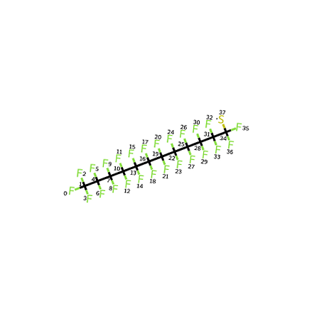 FC(F)(F)C(F)(F)C(F)(F)C(F)(F)C(F)(F)C(F)(F)C(F)(F)C(F)(F)C(F)(F)C(F)(F)C(F)(F)C(F)(F)[S]